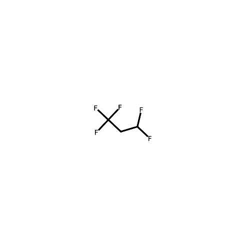 FC(F)CC(F)(F)F